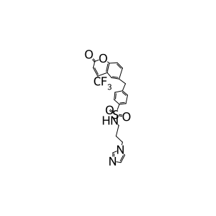 O=c1cc(C(F)(F)F)c2cc(Cc3ccc(S(=O)(=O)NCCCn4ccnc4)cc3)ccc2o1